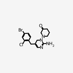 NC1=NC=C(Cc2ccc(Br)cc2Cl)CN1N1CCCC(=O)C1